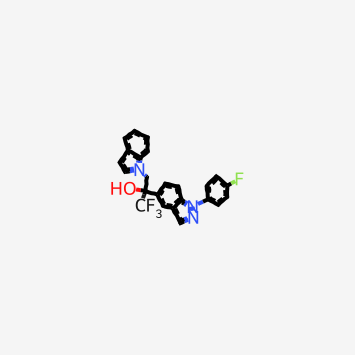 OC(Cn1ccc2ccccc21)(c1ccc2c(cnn2-c2ccc(F)cc2)c1)C(F)(F)F